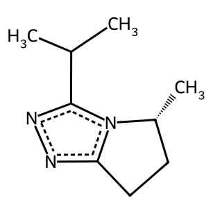 CC(C)c1nnc2n1[C@H](C)CC2